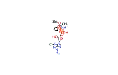 C[C@H](NP(=O)(Oc1ccccc1)OP(=O)(O)OCC1OC2C(C1O)C2n1cnc2c(N)nc(Cl)nc21)C(=O)OCC(C)(C)C